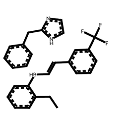 CCc1ccccc1BC=Cc1cccc(C(F)(F)F)c1.c1ccc(Cc2ncc[nH]2)cc1